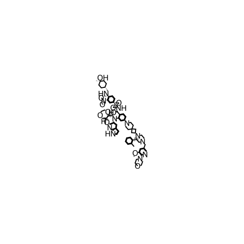 COc1cc(CN2CCN(C3CC4(CCN(c5ccc(C(=O)NS(=O)(=O)c6ccc(NC[C@H]7CC[C@](C)(O)CC7)c([N+](=O)[O-])c6)c(N6C[C@@H]7OCCOC[C@H]7Oc7nc8[nH]ccc8cc76)c5)CC4)C3)[C@H](c3ccccc3C)C2)cnc1N1CCOCC1